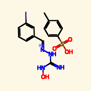 Cc1ccc(S(=O)(=O)O)cc1.N=C(NO)N/N=C/c1cccc(I)c1